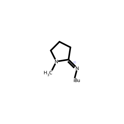 CCC(C)/N=C1/CCCN1C